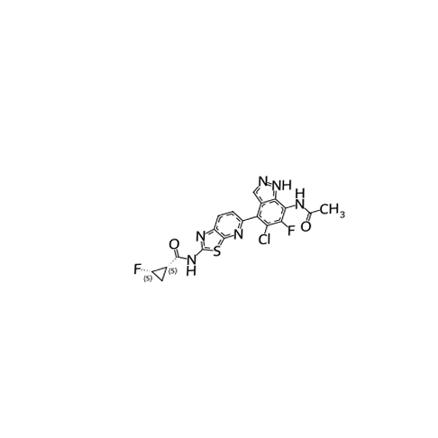 CC(=O)Nc1c(F)c(Cl)c(-c2ccc3nc(NC(=O)[C@@H]4C[C@@H]4F)sc3n2)c2cn[nH]c12